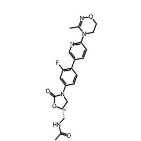 CC(=O)NC[C@H]1CN(c2ccc(-c3ccc(N4CCON=C4C)nc3)c(F)c2)C(=O)O1